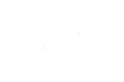 CC(C)c1cc2c3ccccc3n(-c3ccccc3)c3cc4c(C(C)C)cc5c6ccccc6n(-c6ccccc6)c6cc1c(c4c56)c23